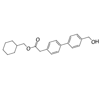 O=C(Cc1ccc(-c2ccc(CO)cc2)cc1)OCC1CCCCC1